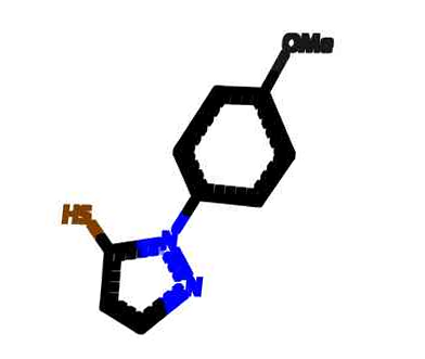 COc1ccc(-n2nccc2S)cc1